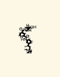 C[C@H](Cc1nncn1C)c1cccc(NC(=O)c2cc(C(=O)N3C[C@@H]4[C@@H](O)[C@@H]4C3)ccn2)c1